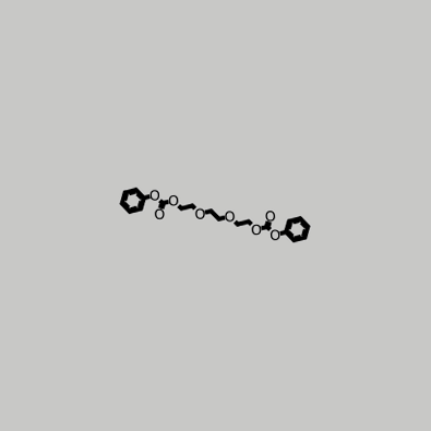 O=C(OCCOCCOCCOC(=O)Oc1ccccc1)Oc1ccccc1